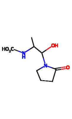 CC(NC(=O)O)C(O)N1CCCC1=O